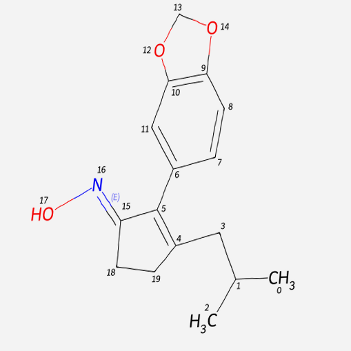 CC(C)CC1=C(c2ccc3c(c2)OCO3)/C(=N/O)CC1